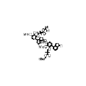 CCC(CC)OC(=O)C(C)(C)COc1c(-c2cccc3c2CCC3=O)ccc(OC)c1OC.COc1ccc(-c2cccc3c2CCC3=O)c(OCC(C)(C)C(=O)OCC(C)(C)C)c1OC